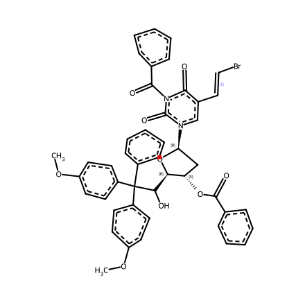 COc1ccc(C(c2ccccc2)(c2ccc(OC)cc2)C(O)[C@H]2O[C@@H](n3cc(/C=C/Br)c(=O)n(C(=O)c4ccccc4)c3=O)C[C@@H]2OC(=O)c2ccccc2)cc1